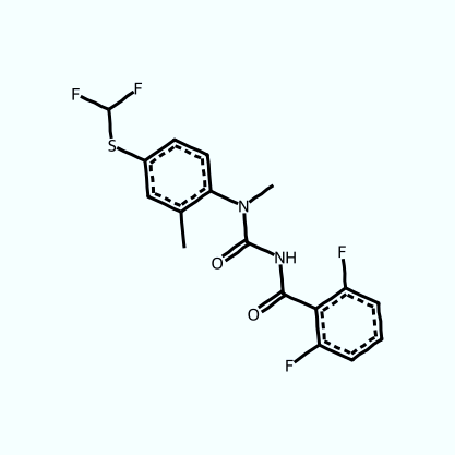 Cc1cc(SC(F)F)ccc1N(C)C(=O)NC(=O)c1c(F)cccc1F